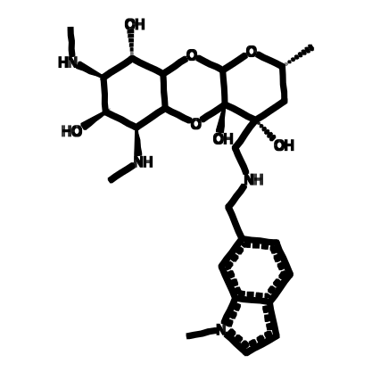 CN[C@@H]1[C@H](O)[C@H](NC)C2O[C@]3(O)C(OC2[C@H]1O)O[C@H](C)C[C@@]3(O)CNCc1ccc2ccn(C)c2c1